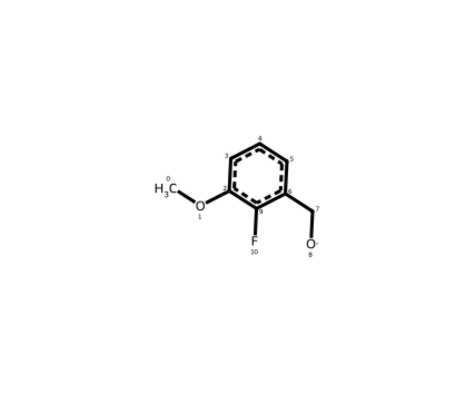 COc1cccc(C[O])c1F